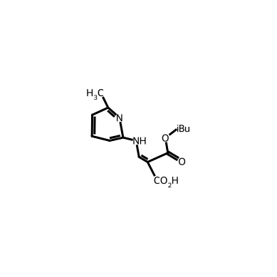 CCC(C)OC(=O)C(=CNc1cccc(C)n1)C(=O)O